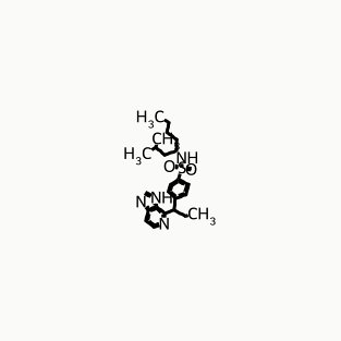 CCCCC(CC(C)C)NS(=O)(=O)c1ccc(C(CC)c2nccc3nc[nH]c23)cc1